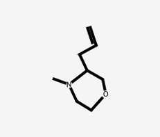 C=C[CH]C1COCCN1C